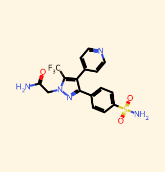 NC(=O)Cn1nc(-c2ccc(S(N)(=O)=O)cc2)c(-c2ccncc2)c1C(F)(F)F